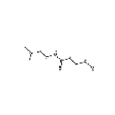 CC(C)CCOC(=O)CCC[O]